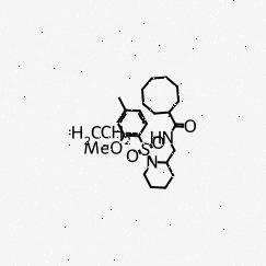 COc1cc(C)ccc1S(=O)(=O)N1CCCCC1CNC(=O)[C]1CCCCCCC1.[CH2].[CH2]